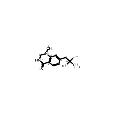 CN1CNC(=S)c2ccc(CC(C)(F)F)cc21